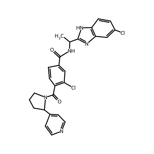 CC(NC(=O)c1ccc(C(=O)N2CCCC2c2ccncc2)c(Cl)c1)c1nc2cc(Cl)ccc2[nH]1